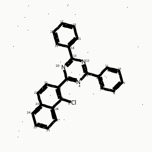 Clc1c(-c2nc(-c3ccccc3)nc(-c3ccccc3)n2)ccc2ccccc12